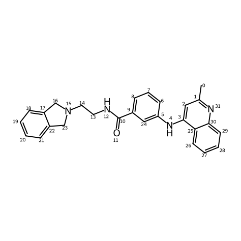 Cc1cc(Nc2cccc(C(=O)NCCN3Cc4ccccc4C3)c2)c2ccccc2n1